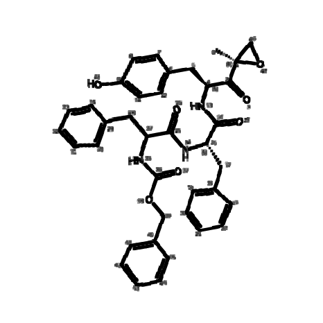 C[C@]1(C(=O)[C@H](Cc2ccc(O)cc2)NC(=O)[C@H](Cc2ccccc2)NC(=O)C(Cc2ccccc2)NC(=O)OCc2ccccc2)CO1